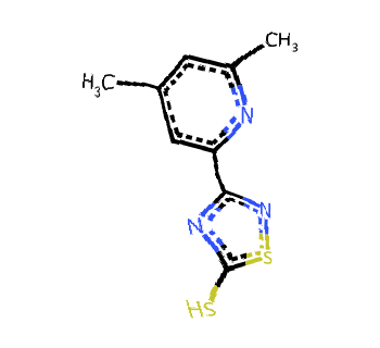 Cc1cc(C)nc(-c2nsc(S)n2)c1